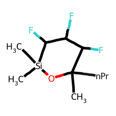 CCCC1(C)O[Si](C)(C)C(F)C(F)C1F